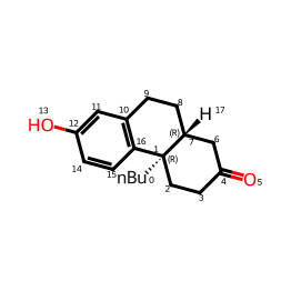 CCCC[C@@]12CCC(=O)C[C@H]1CCc1cc(O)ccc12